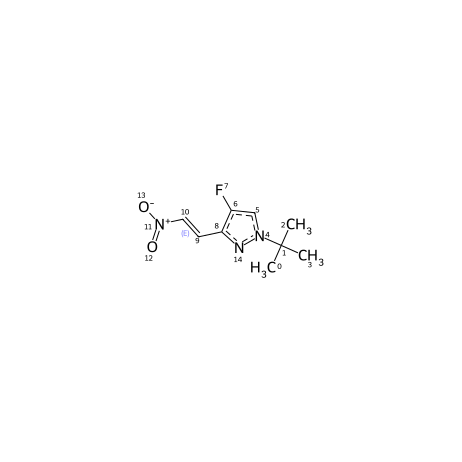 CC(C)(C)n1cc(F)c(/C=C/[N+](=O)[O-])n1